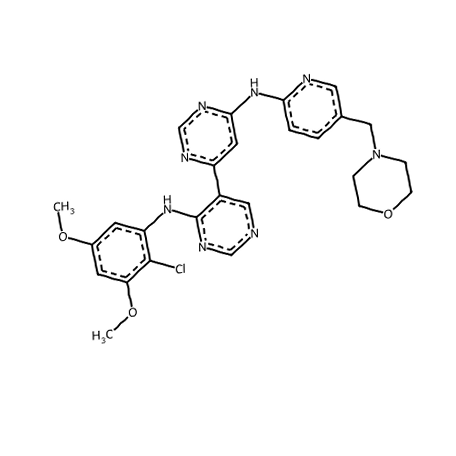 COc1cc(Nc2ncncc2-c2cc(Nc3ccc(CN4CCOCC4)cn3)ncn2)c(Cl)c(OC)c1